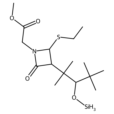 CCSC1C(C(C)(C)C(O[SiH3])C(C)(C)C)C(=O)N1CC(=O)OC